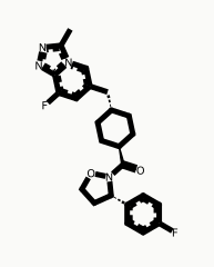 Cc1nnc2c(F)cc(C[C@H]3CC[C@H](C(=O)N4OCC[C@H]4c4ccc(F)cc4)CC3)cn12